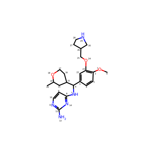 COc1ccc(C(Nc2ccnc(N)n2)C2CCOC(C)C2)cc1OCC1CCNC1